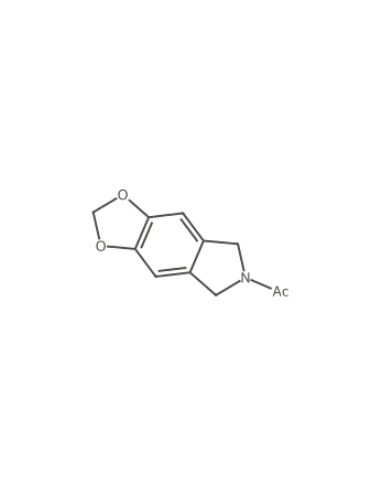 CC(=O)N1Cc2cc3c(cc2C1)OCO3